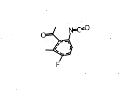 CC(=O)c1c(N=C=O)ccc(F)c1C